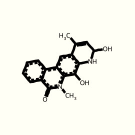 CC1=CC(O)Nc2c1cc1c3ccccc3c(=O)n(C)c1c2O